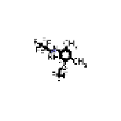 Cc1cc(C)c(SCC(F)(F)F)cc1/N=C(\N)C(F)(F)C(F)(F)F